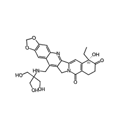 CC[C@@]1(O)C(=O)CCc2c1cc1n(c2=O)Cc2c-1nc1cc3c(cc1c2CNC(CO)(CO)CO)OCO3